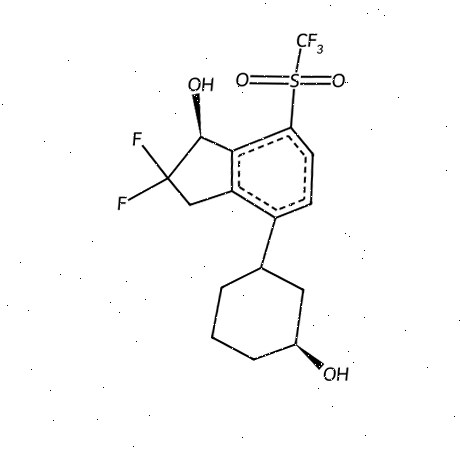 O=S(=O)(c1ccc(C2CCC[C@H](O)C2)c2c1[C@H](O)C(F)(F)C2)C(F)(F)F